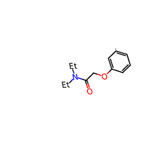 CCN(CC)C(=O)COc1c[c]ccc1